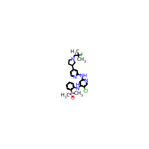 CC(C)(F)CN1CCC(c2ccnc(Nc3cc(Nc4ccccc4P(C)(C)=O)c(Cl)cn3)c2)C1